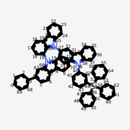 c1ccc(-c2ccc3c4ccccc4n(-c4cccc5c6ccccc6n(-c6ccc7c(c6)c6ccccc6n7-c6cccc([Si](c7ccccc7)(c7ccccc7)c7ccccc7)c6)c45)c3c2)cc1